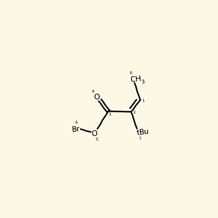 CC=C(C(=O)OBr)C(C)(C)C